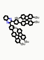 CC(C)(C)c1ccc2c(c1)C1(c3cc(-c4ccc(-c5nc6ccccc6nc5-c5ccc(-c6ccc7c(c6)C6(c8cc(C(C)(C)C)ccc8-7)c7cc(C(C)(C)C)ccc7-c7ccc(C(C)(C)C)cc76)cc5)cc4)ccc3-2)c2cc(C(C)(C)C)ccc2-c2ccc(C(C)(C)C)cc21